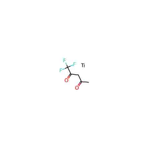 CC(=O)CC(=O)C(F)(F)F.[Ti]